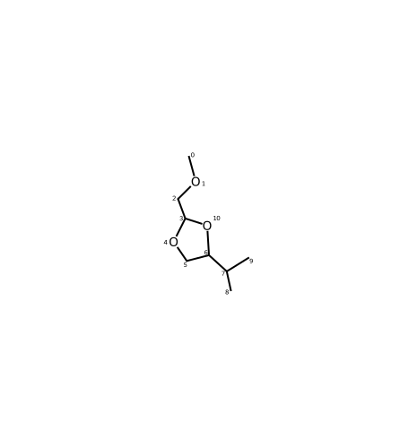 COCC1OCC(C(C)C)O1